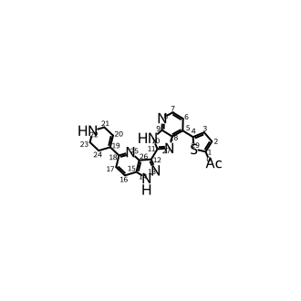 CC(=O)c1ccc(-c2ccnc3[nH]c(-c4n[nH]c5ccc(C6=CCNCC6)nc45)nc23)s1